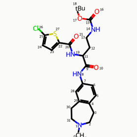 CN1CCc2ccc(NC(=O)C(CCNC(=O)OC(C)(C)C)NC(=O)c3ccc(Cl)s3)cc2CC1